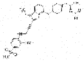 CCC(=O)OC(C)CN1CCC(Nc2cccc3c2cc(C#CCNc2ccc(S(C)(=O)=O)cc2OC)n3CC(F)(F)F)CC1